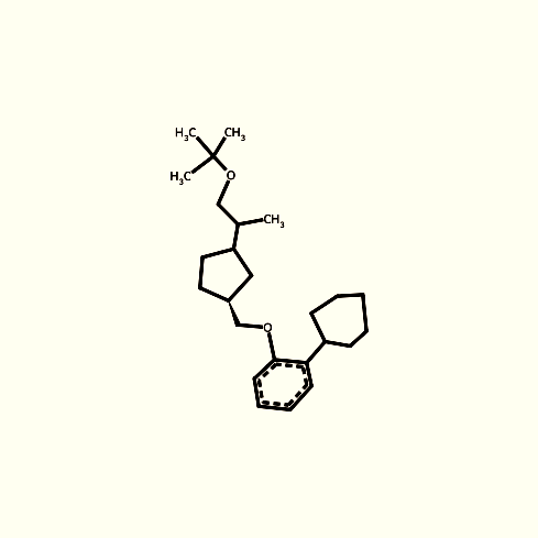 CC(COC(C)(C)C)C1CC[C@H](COc2ccccc2C2CCCCC2)C1